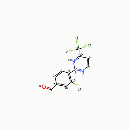 O=Cc1ccc(-c2nccc(C(F)(F)F)n2)c(F)c1